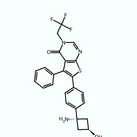 N[C@]1(c2ccc(-c3sc4ncn(CC(F)(F)F)c(=O)c4c3-c3ccccc3)cc2)C[C@@H](O)C1